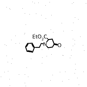 CCOC(=O)[C@H]1CC(=O)CCN1CCc1ccccc1